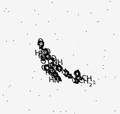 C=C(C)c1ccccc1[C@@H]1CCCN1C1CC2(CCN(c3ccc(C(=O)NS(=O)(=O)c4cc5c(c([N+](=O)[O-])c4)N[C@@H](CN4CCOCC4)CO5)c(N4C[C@@H]5CCOC[C@H]5Oc5nc6[nH]ccc6cc54)c3)CC2)C1